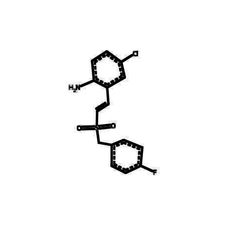 Nc1ccc(Cl)cc1C=CS(=O)(=O)Cc1ccc(F)cc1